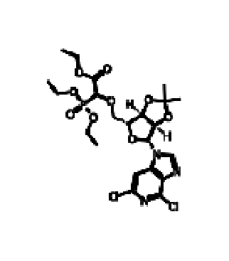 CCOC(=O)C(OC[C@H]1O[C@@H](n2cnc3c(Cl)nc(Cl)cc32)[C@@H]2OC(C)(C)O[C@@H]21)P(=O)(OCC)OCC